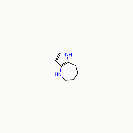 c1cc2c([nH]1)CCCCN2